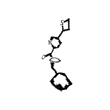 O=C(OCc1ccccc1)c1ccc(C2CCS2)cn1